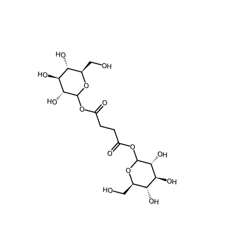 O=C(CCC(=O)OC1O[C@H](CO)[C@@H](O)[C@H](O)[C@H]1O)OC1O[C@H](CO)[C@@H](O)[C@H](O)[C@H]1O